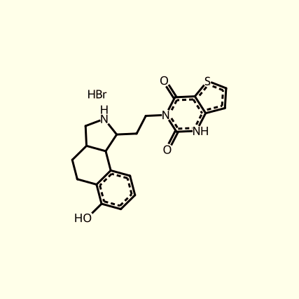 Br.O=c1[nH]c2ccsc2c(=O)n1CCC1NCC2CCc3c(O)cccc3C21